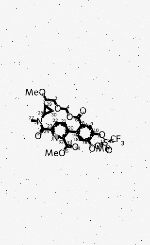 COCCOCOC(=O)c1cc(OS(=O)(=O)C(F)(F)F)c(OC)cc1-c1ccc(C(=O)N(C)C2CC2)nc1C(=O)OC